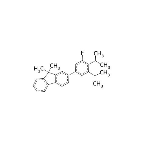 CC(C)c1cc(-c2ccc3c(c2)C(C)(C)c2ccccc2-3)cc(F)c1C(C)C